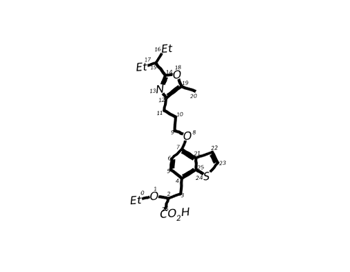 CCOC(Cc1ccc(OCCCc2nc(C(CC)CC)oc2C)c2ccsc12)C(=O)O